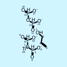 C=CCO.O=[PH]([O-])O[PH](=O)[O-].O=[PH]([O-])O[PH](=O)[O-].[Ti+4]